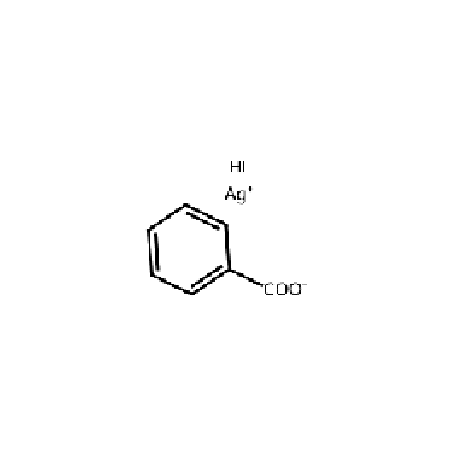 I.O=C([O-])c1ccccc1.[Ag+]